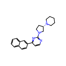 c1ccc2cc(-c3ccnc(N4CC[C@H](N5CCCCC5)C4)n3)ccc2c1